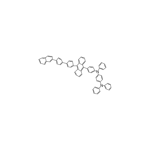 c1ccc(N(c2ccccc2)c2ccc(N(c3ccccc3)c3ccc(-c4c5ccccc5c(-c5ccc(-c6ccc(-c7ccc8ccccc8c7)cc6)cc5)c5ccccc45)cc3)cc2)cc1